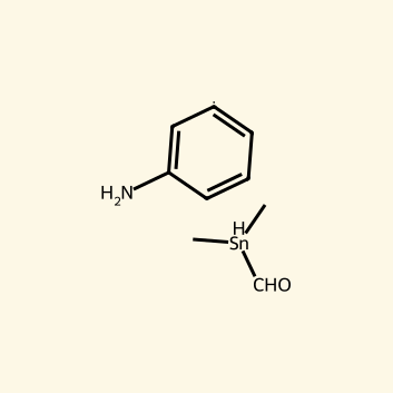 Nc1c[c]ccc1.[CH3][SnH]([CH3])[CH]=O